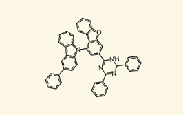 c1ccc(C2=NC(c3ccccc3)NC(c3cc(-n4c5ccccc5c5cc(-c6ccccc6)ccc54)c4c(c3)oc3ccccc34)=N2)cc1